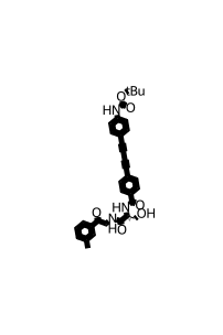 Cc1cccc(C(=O)CNC(=O)[C@@H](CO)NC(=O)c2ccc(C#CC#Cc3ccc(NC(=O)OC(C)(C)C)cc3)cc2)c1